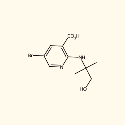 CC(C)(CO)Nc1ncc(Br)cc1C(=O)O